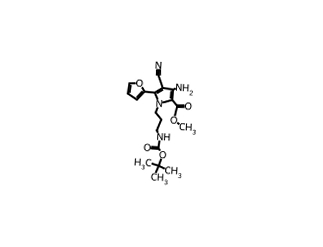 COC(=O)c1c(N)c(C#N)c(-c2ccco2)n1CCCNC(=O)OC(C)(C)C